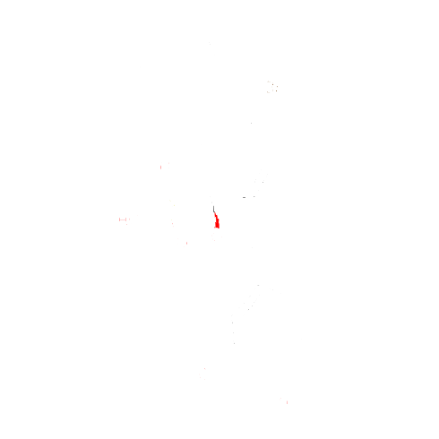 CCC(CC)C1=C(Br)C=C[C@](OCc2ccc(OC)c(OC)c2)(S(=O)(=O)O)C1